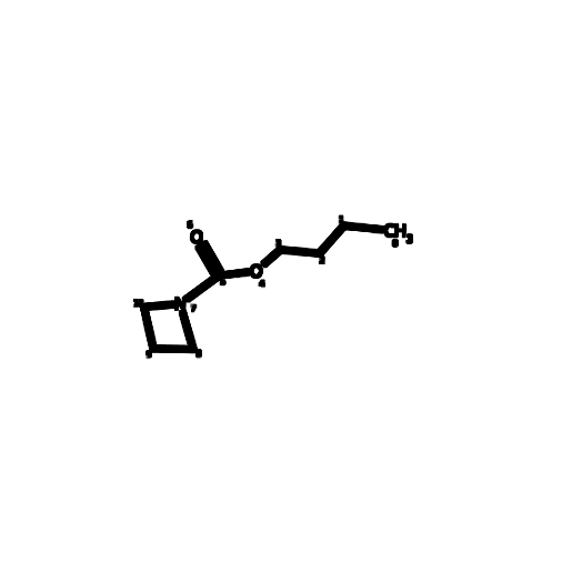 CCCCOC(=O)N1CCC1